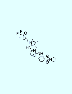 Cc1nn(CCOC(=O)C(F)(F)F)c(Nc2ccnc(Nc3cccc(S(=O)(=O)N4CCCC4)c3)n2)c1C